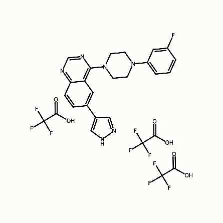 Fc1cccc(N2CCN(c3ncnc4ccc(-c5cn[nH]c5)cc34)CC2)c1.O=C(O)C(F)(F)F.O=C(O)C(F)(F)F.O=C(O)C(F)(F)F